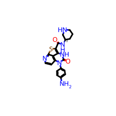 Nc1ccc(N2C(=O)Nc3c(C(=O)N[C@@H]4CCCNC4)sc4nccc2c34)cc1